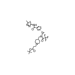 Cc1nnc(NC(=O)c2csc([C@@H]3C[C@H]3N(CC3CCN(CCC(=O)OC(C)(C)C)CC3)C(=O)C(F)(F)F)c2)s1